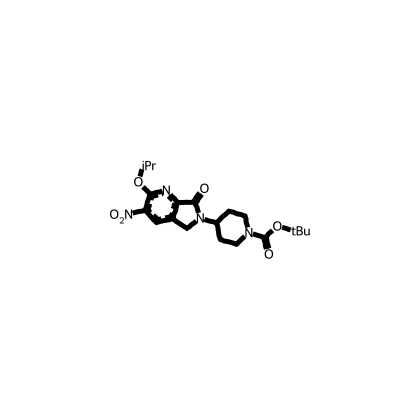 CC(C)Oc1nc2c(cc1[N+](=O)[O-])CN(C1CCN(C(=O)OC(C)(C)C)CC1)C2=O